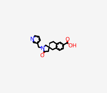 O=C(O)c1ccc2c(c1)CC[C@]1(CC(=O)N(Cc3cccnc3)C1)C2